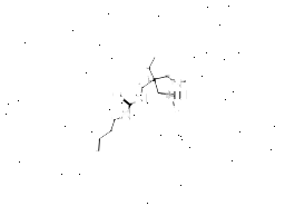 CCCCNC(=O)NCC(CC)(CNC)CNC